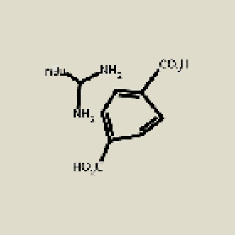 CCCCC(N)N.O=C(O)c1ccc(C(=O)O)cc1